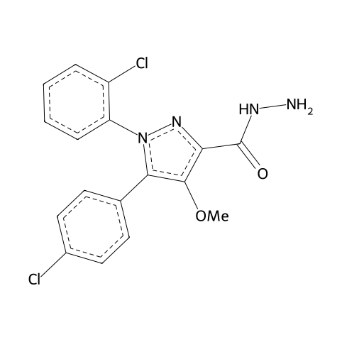 COc1c(C(=O)NN)nn(-c2ccccc2Cl)c1-c1ccc(Cl)cc1